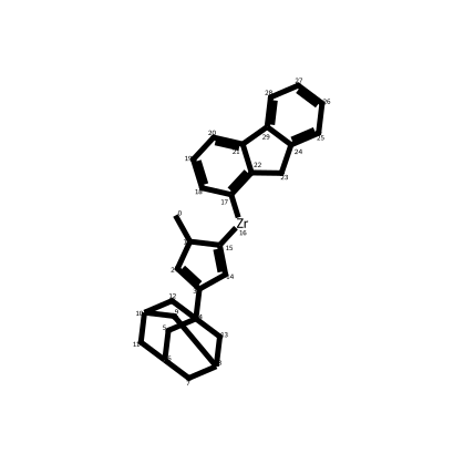 CC1C=C(C23CC4CC(CC(C4)C2)C3)C=[C]1[Zr][c]1cccc2c1Cc1ccccc1-2